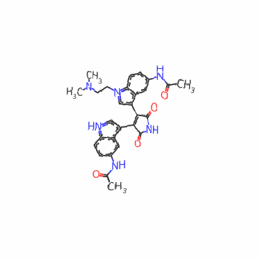 CC(=O)Nc1ccc2[nH]cc(C3=C(c4cn(CCN(C)C)c5ccc(NC(C)=O)cc45)C(=O)NC3=O)c2c1